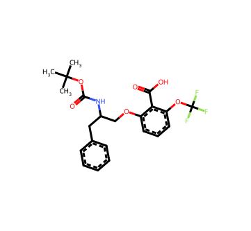 CC(C)(C)OC(=O)NC(COc1cccc(OC(F)(F)F)c1C(=O)O)Cc1ccccc1